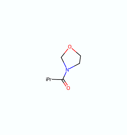 CC(C)C(=O)N1CCOC1